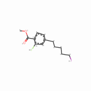 COC(=O)c1ccc(CCCCCI)cc1F